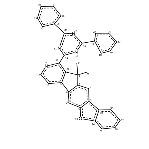 CC1(C)c2cc3c(cc2-c2ccnc(-c4nc(-c5ccccc5)nc(-c5ccccc5)n4)c21)oc1ccccc13